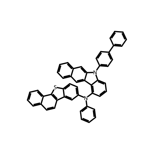 c1ccc(-c2ccc(-n3c4cc5ccccc5cc4c4c(N(c5ccccc5)c5ccc6sc7c8ccccc8ccc7c6c5)cccc43)cc2)cc1